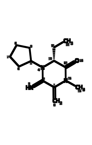 C=C1C(=N)N(C2CCCC2)[C@H](CC)C(=O)N1C